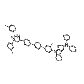 Cc1cccc(-c2cc(-c3ccc(-c4ccc(-c5ccc(-n6c7ccccc7c7cc(N(c8ccccc8)c8ccccc8)ccc76)c(C)c5)cc4)cc3)nc(-c3cccc(C)c3)n2)c1